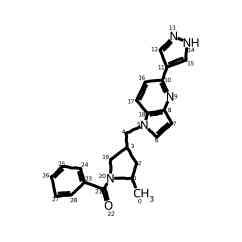 CC1CC(Cn2ccc3nc(-c4cn[nH]c4)ccc32)CN1C(=O)c1ccccc1